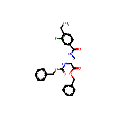 CCc1ccc(C(=O)NC[C@@H](NC(=O)OCc2ccccc2)C(=O)OCc2ccccc2)cc1F